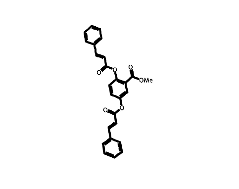 COC(=O)c1cc(OC(=O)/C=C/c2ccccc2)ccc1OC(=O)/C=C/c1ccccc1